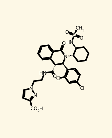 CS(=O)(=O)N[C@H]1CCCC[C@@H]1N1C(=O)c2ccccc2[C@@H](C(=O)NCCn2ccc(C(=O)O)n2)[C@@H]1c1ccc(Cl)cc1Cl